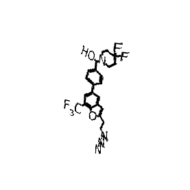 [N-]=[N+]=NCCc1cc2cc(-c3ccc(C(O)N4CCC(F)(F)CC4)cc3)cc(C(F)(F)F)c2o1